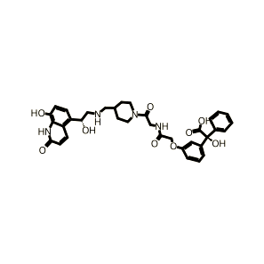 O=C(COc1cccc([C@](O)(C(=O)O)c2ccccc2)c1)NCC(=O)N1CCC(CNC[C@H](O)c2ccc(O)c3[nH]c(=O)ccc23)CC1